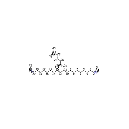 C/N=C\CCCCCCCCC(CCCCCCCC/C=N\C)CC(=O)CCCN(C)C